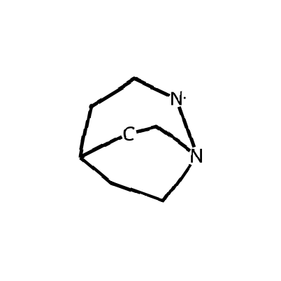 C1CC2CCN(CC2)[N]1